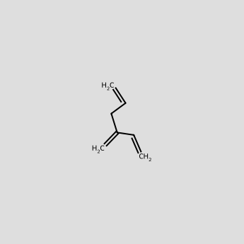 C=CCC(=C)C=C